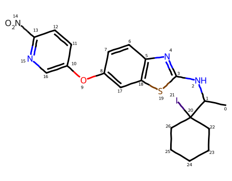 CC(Nc1nc2ccc(Oc3ccc([N+](=O)[O-])nc3)cc2s1)C1(I)CCCCC1